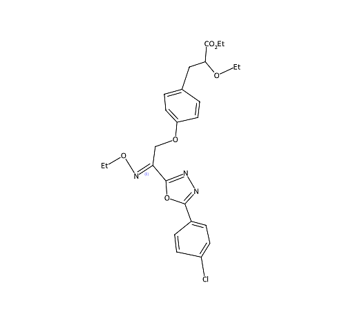 CCO/N=C(\COc1ccc(CC(OCC)C(=O)OCC)cc1)c1nnc(-c2ccc(Cl)cc2)o1